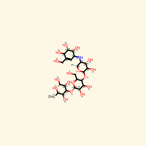 C[C@H]1OC(OC2C(CO)O[C@H](OC(C(O)C(O)C=O)[C@H](O)CO)[C@H](O)C2O)C(O)[C@@H](O)C1NC1C=C(CO)C(O)[C@@H](O)[C@H]1O